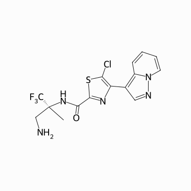 C[C@@](CN)(NC(=O)c1nc(-c2cnn3ccccc23)c(Cl)s1)C(F)(F)F